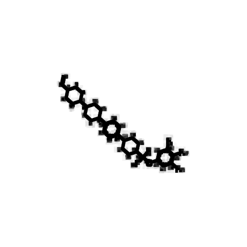 C=CC1CCC(C2CCC(c3ccc(C4CCC(C(F)(F)Oc5cc(F)c(F)c(F)c5)CC4)cc3)CC2)CC1